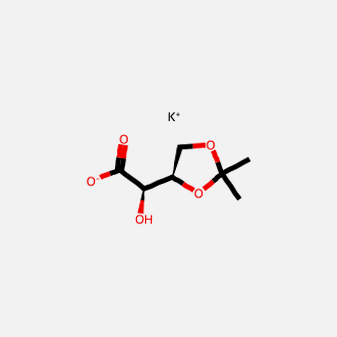 CC1(C)OC[C@H]([C@@H](O)C(=O)[O-])O1.[K+]